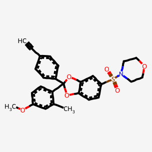 C#Cc1ccc(C2(c3ccc(OC)cc3C)Oc3ccc(S(=O)(=O)N4CCOCC4)cc3O2)cc1